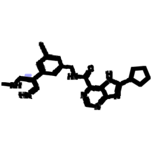 CN/C=C(\C=N)c1cc(C)cc(CNC(=O)c2ncnc3nc(C4CCCC4)[nH]c23)c1